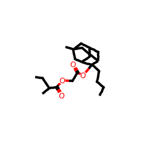 CCCCC1(OC(=O)COC(=O)C(C)CC)C2CC3CC1CC(C)(C3)C2